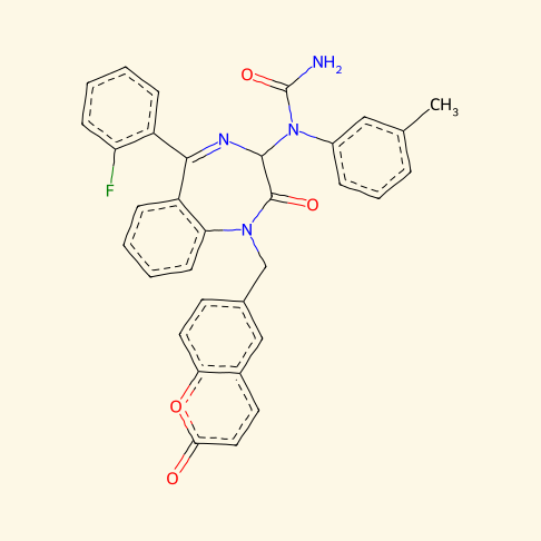 Cc1cccc(N(C(N)=O)C2N=C(c3ccccc3F)c3ccccc3N(Cc3ccc4oc(=O)ccc4c3)C2=O)c1